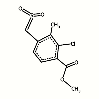 COC(=O)c1ccc(C=S(=O)=O)c(C)c1Cl